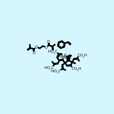 C=C(C)C(=O)OCCOC(=O)C(=C)C.C=Cc1ccccc1.CC(=CC(C=C(C)C(=O)O)=C(C(=O)O)C(C=C(C)C(=O)O)(C=C(C)C(=O)O)C=C(C(=O)O)C(C)(C=C(C)C(=O)O)C=C(C)C(=O)O)C(=O)O